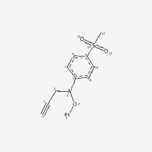 C#CCN(OCC)c1ccc(S(C)(=O)=O)cc1